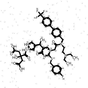 CCN(CC)CCN(Cc1ccc(-c2ccc(C(F)(F)F)cc2)cc1)C(=O)Cn1cc(C(C)c2cn[nH]c2)c(=O)nc1SCc1ccc(F)cc1.O=C(O)CC(O)(CC(=O)O)C(=O)O